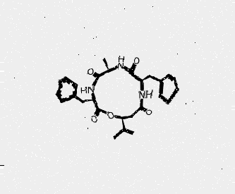 CC(C)[C@@H]1CC(=O)N[C@H](CC2=CCCC=C2)C(=O)N[C@H](C)C(=O)N[C@H](Cc2ccccc2)C(=O)O1